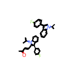 CC(=O)C=Cc1c(-c2ccc(F)cc2)c2ccccc2n1C(C)C.CC(C)n1cc(-c2ccc(F)cc2)c2ccccc21